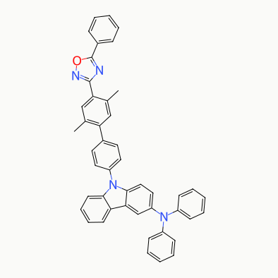 Cc1cc(-c2noc(-c3ccccc3)n2)c(C)cc1-c1ccc(-n2c3ccccc3c3cc(N(c4ccccc4)c4ccccc4)ccc32)cc1